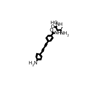 C[C@@H](N)[C@H](NC(=O)c1ccc(C#CC#Cc2ccc(N)cc2)cc1)C(=O)NO